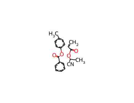 C=CC(=O)OC(C)C#N.Cc1ccc(OC(=O)c2ccccc2)cc1